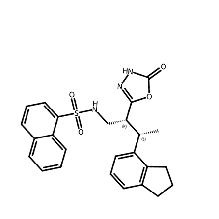 C[C@H](c1cccc2c1CCC2)[C@H](CNS(=O)(=O)c1cccc2ccccc12)c1n[nH]c(=O)o1